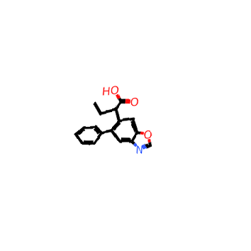 CCC(C(=O)O)c1cc2ocnc2cc1-c1ccccc1